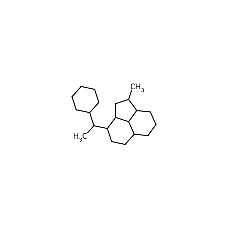 CC1CC2C(C(C)C3CCCCC3)CCC3CCCC1C32